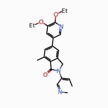 C/C=C(\C=N/C)N1Cc2cc(-c3cnc(OCC)c(OCC)c3)cc(C)c2C1=O